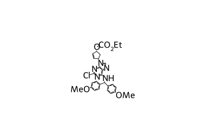 CCOC(=O)O[C@H]1C=CC(n2cnc3c(NC(c4ccc(OC)cc4)c4ccc(OC)cc4)nc(Cl)nc32)C1